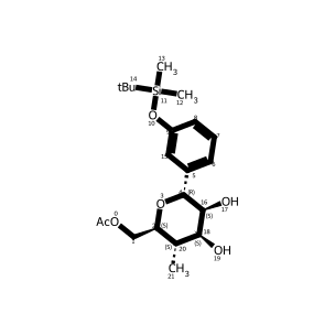 CC(=O)OC[C@H]1O[C@H](c2cccc(O[Si](C)(C)C(C)(C)C)c2)[C@@H](O)[C@@H](O)[C@@H]1C